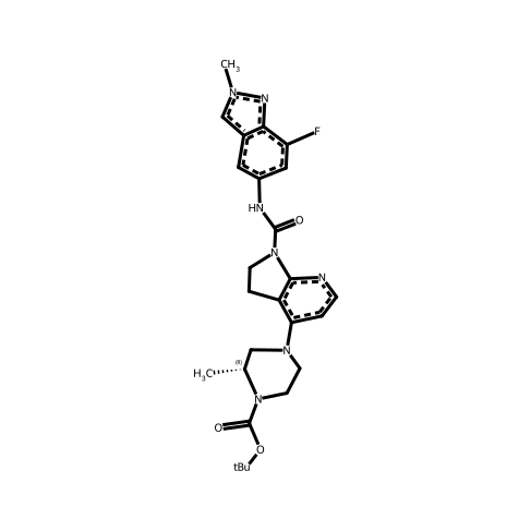 C[C@@H]1CN(c2ccnc3c2CCN3C(=O)Nc2cc(F)c3nn(C)cc3c2)CCN1C(=O)OC(C)(C)C